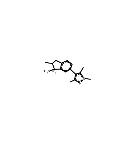 Cc1nn(C)c(C)c1-c1ccc2c(c1)[C@@](C)(N)C(C)C2